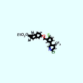 CCOC(=O)[C@H]1[C@@H]2Cc3cc(OCc4cc(-c5cnc(Cl)cc5C(F)(F)F)ccc4F)ccc3[C@@H]21